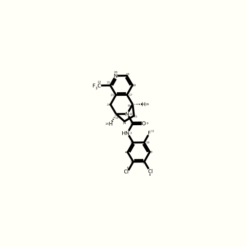 O=C(Nc1cc(Cl)c(Cl)cc1F)N1[C@H]2CC[C@@H]1c1ccnc(C(F)(F)F)c1C2